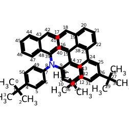 CC(C)(C)c1ccc(N(c2ccccc2-c2cccc3cccc(-c4cc(C(C)(C)C)cc(C(C)(C)C)c4)c23)c2cccc3ccccc23)cc1